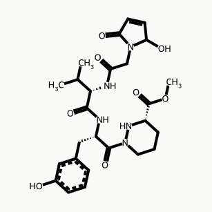 COC(=O)[C@@H]1CCCN(C(=O)[C@H](Cc2cccc(O)c2)NC(=O)[C@@H](NC(=O)CN2C(=O)C=CC2O)C(C)C)N1